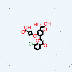 O=c1cc(-c2cc3oc(O)c(O)c3cc2O[C@H]2C[C@H](C(=O)O)C2)oc2c(Cl)cccc12